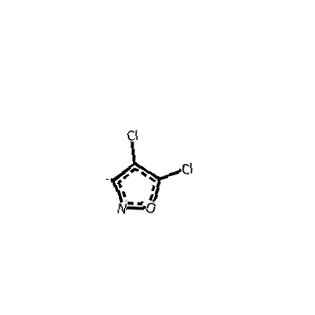 Clc1[c]noc1Cl